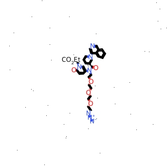 CCOC(=O)Cn1cc(N(CCOCCOCCOCCN=[N+]=[N-])C(=O)[C@H]2CCCN(c3cncc4ccccc34)C2)ccc1=O